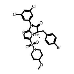 COC1CCN(S(=O)(=O)c2cnc3n2[C@](C)(Cc2ccc(Br)cc2)C(=O)N3c2cc(Cl)cc(Cl)c2)CC1